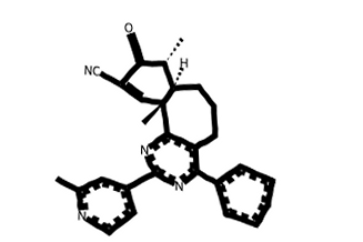 Cc1cc(-c2nc(-c3ccccc3)c3c(n2)[C@]2(C)C=C(C#N)C(=O)[C@H](C)[C@H]2CCC3)ccn1